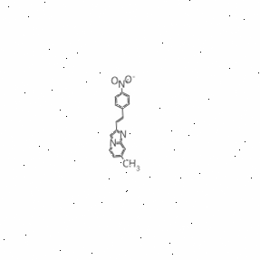 Cc1ccn2cc(C=Cc3ccc([N+](=O)[O-])cc3)nc2c1